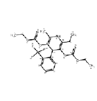 CCOC(=O)OC1=C(C)NC(CC)=C(OC(=O)OCC)C1c1ccccc1C(F)(F)F